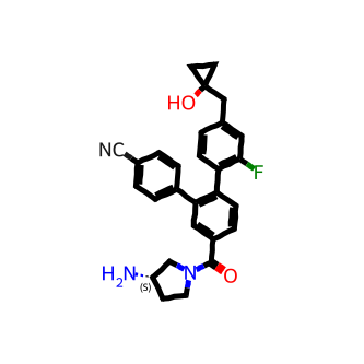 N#Cc1ccc(-c2cc(C(=O)N3CC[C@H](N)C3)ccc2-c2ccc(CC3(O)CC3)cc2F)cc1